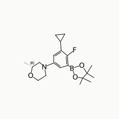 C[C@@H]1CN(c2cc(B3OC(C)(C)C(C)(C)O3)c(F)c(C3CC3)c2)CCO1